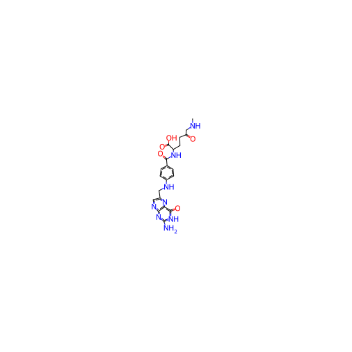 CNCC(=O)CCC(NC(=O)c1ccc(NCc2cnc3nc(N)[nH]c(=O)c3n2)cc1)C(=O)O